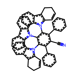 N#Cc1c(-c2ccccc2)c(-n2c3c(c4ccccc42)CCC=C3)c(-n2c3ccccc3c3ccccc32)c(-n2c3c(c4ccccc42)CCC=C3)c1-c1ccccc1